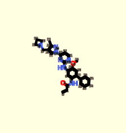 C=CC(=O)Nc1cc(Nc2nccc(-n3cc(CN4CCC4)c(C)n3)n2)c(OC)cc1-c1ccccc1